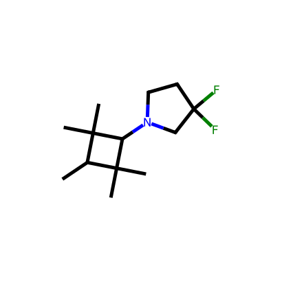 CC1C(C)(C)C(N2CCC(F)(F)C2)C1(C)C